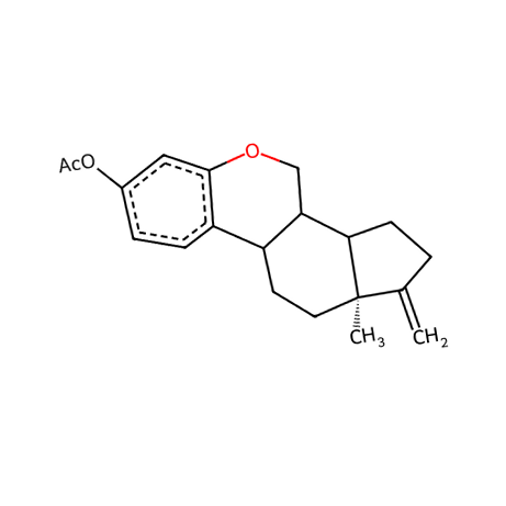 C=C1CCC2C3COc4cc(OC(C)=O)ccc4C3CC[C@]12C